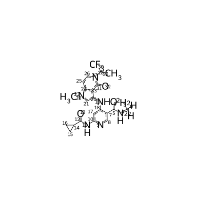 [2H]C([2H])([2H])NC(=O)c1cnc(NC(=O)C2CC2)cc1Nc1cn(C)c2ccn(C(C)C(F)(F)F)c(=O)c12